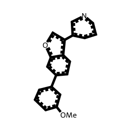 COc1cccc(-c2ccc3c(-c4cccnc4)coc3c2)c1